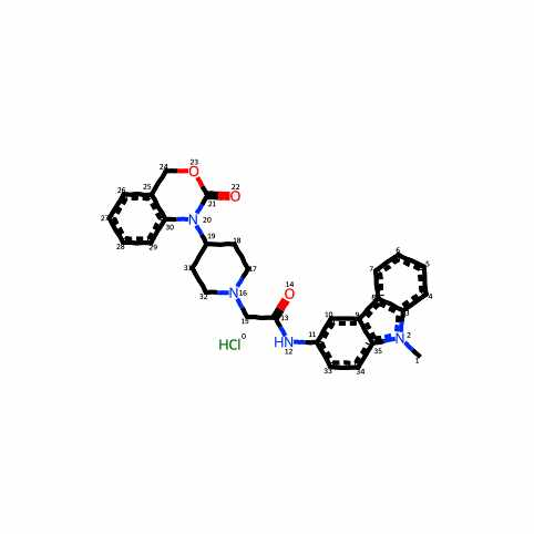 Cl.Cn1c2ccccc2c2cc(NC(=O)CN3CCC(N4C(=O)OCc5ccccc54)CC3)ccc21